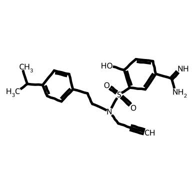 C#CCN(CCc1ccc(C(C)C)cc1)S(=O)(=O)c1cc(C(=N)N)ccc1O